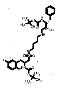 CC(C)(C)OC(=O)NC(Cc1cc(F)ccc1F)CS(=O)(=O)NCCCCNC[C@@H](O)[C@@H](Cc1ccccc1)NC(=O)OC(C)(C)C